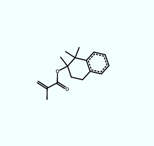 C=C(C)C(=O)OC1(C)CCc2ccccc2C1(C)C